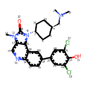 CN(C)C[C@H]1CC[C@H](n2c(=O)n(C)c3cnc4ccc(-c5cc(Cl)c(O)c(Cl)c5)cc4c32)CC1